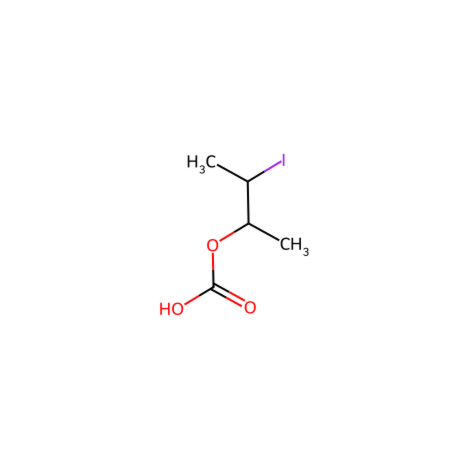 CC(I)C(C)OC(=O)O